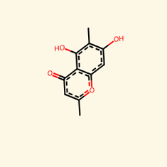 Cc1cc(=O)c2c(O)c(C)c(O)cc2o1